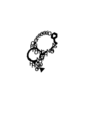 O=C1N[C@H]2CCCCC/C=C\[C@H]3C[C@@]3(C(=O)NS(=O)(=O)C3CC3)NC(=O)[C@@H]3C[C@H](CN3C2=O)NC(=O)c2nc(cs2)-c2cccc(c2)OCCCCCO1